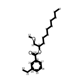 CCCCCCCCCC(COC)OC(=O)c1cccc(CC)c1